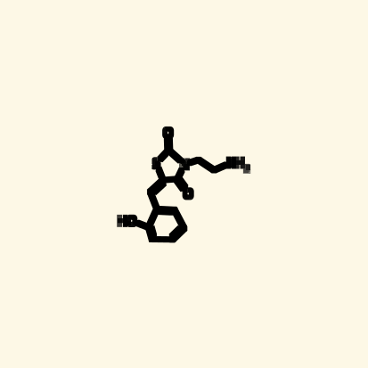 NCCN1C(=O)S/C(=C/c2ccccc2O)C1=O